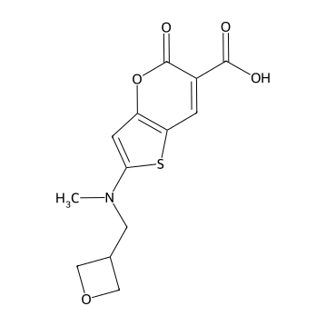 CN(CC1COC1)c1cc2oc(=O)c(C(=O)O)cc2s1